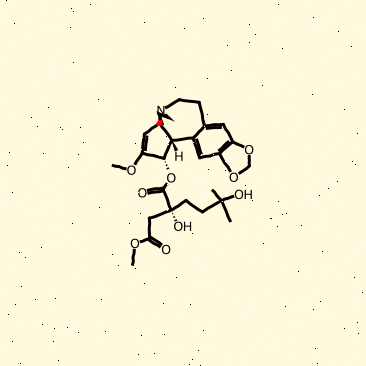 COC(=O)C[C@](O)(CCC(C)(C)O)C(=O)O[C@@H]1C(OC)=C[C@]23CCCN2CCc2cc4c(cc2[C@H]13)OCO4